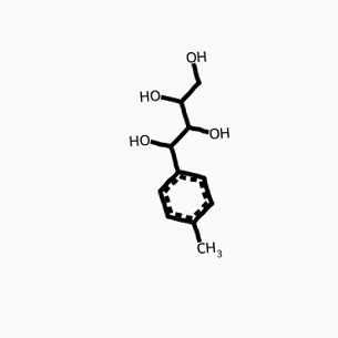 Cc1ccc(C(O)C(O)C(O)CO)cc1